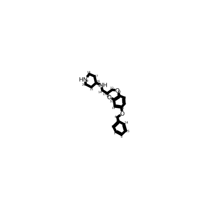 c1ccc(COc2ccc3c(c2)OC(CNC2CCNCC2)CO3)cc1